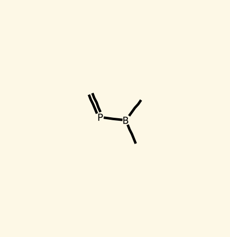 C=PB(C)C